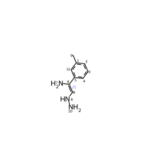 Cc1cccc(/C(N)=C/NN)c1